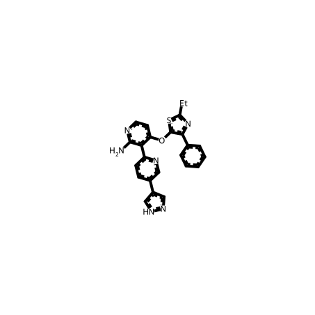 CCc1nc(-c2ccccc2)c(Oc2ccnc(N)c2-c2ccc(-c3cn[nH]c3)cn2)s1